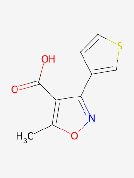 Cc1onc(-c2ccsc2)c1C(=O)O